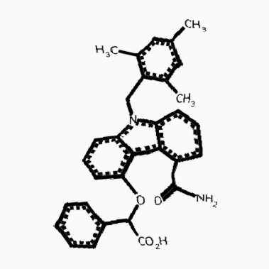 Cc1cc(C)c(Cn2c3cccc(OC(C(=O)O)c4ccccc4)c3c3c(C(N)=O)cccc32)c(C)c1